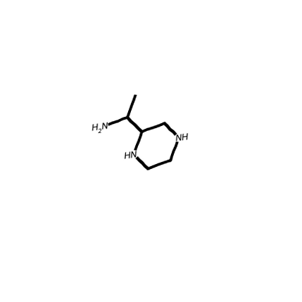 CC(N)C1CNCCN1